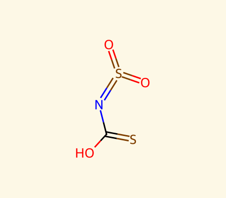 O=S(=O)=NC(O)=S